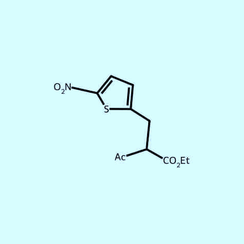 CCOC(=O)C(Cc1ccc([N+](=O)[O-])s1)C(C)=O